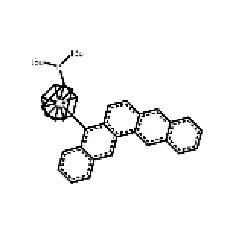 CC(C)(C)P(C(C)(C)C)[C]12[CH]3[CH]4[C]5(c6c7ccccc7cc7c6ccc6cc8ccccc8cc67)[CH]1[Fe]43521678[CH]2[CH]1[CH]6[CH]7[CH]28